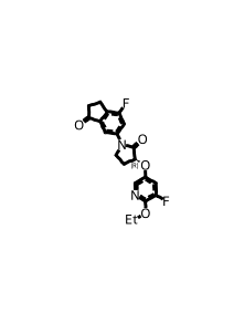 CCOc1ncc(O[C@@H]2CCN(c3cc(F)c4c(c3)C(=O)CC4)C2=O)cc1F